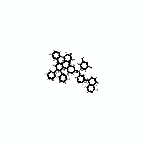 Cc1cc(C)cc(N(c2cccc(C3CC=Cc4ccccc43)c2)C2C=Cc3c(c4ccccc4c4c(-c5ccccc5)cc(-c5ccccc5)c(-c5ccccc5)c34)C2)c1